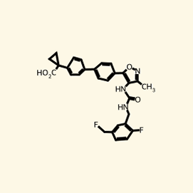 Cc1noc(-c2ccc(-c3ccc(C4(C(=O)O)CC4)cc3)cc2)c1NC(=O)NCc1cc(CF)ccc1F